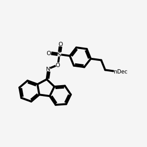 CCCCCCCCCCCCc1ccc(S(=O)(=O)ON=C2c3ccccc3-c3ccccc32)cc1